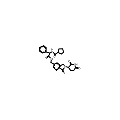 O=C1CCC(N2Cc3cc(CNC(=O)C(NC(=O)C4CCCC4)c4ccccc4)ccc3C2=O)C(=O)N1